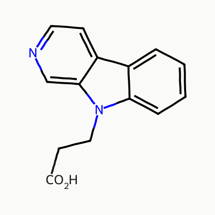 O=C(O)CCn1c2ccccc2c2ccncc21